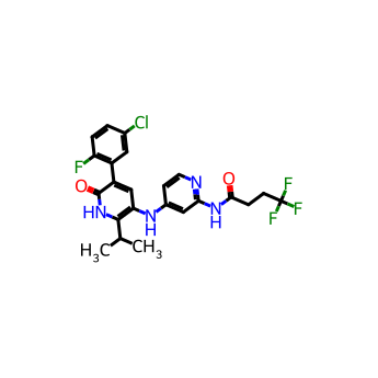 CC(C)c1[nH]c(=O)c(-c2cc(Cl)ccc2F)cc1Nc1ccnc(NC(=O)CCC(F)(F)F)c1